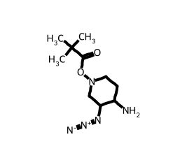 CC(C)(C)C(=O)ON1CCC(N)C(N=[N+]=[N-])C1